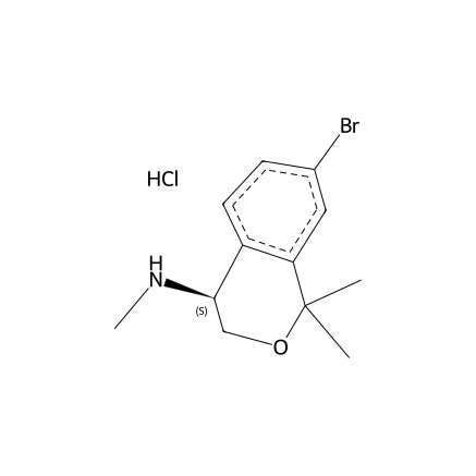 CN[C@@H]1COC(C)(C)c2cc(Br)ccc21.Cl